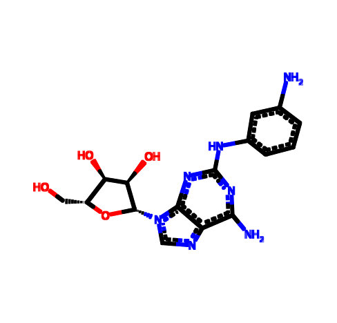 Nc1cccc(Nc2nc(N)c3ncn([C@@H]4O[C@H](CO)[C@@H](O)[C@H]4O)c3n2)c1